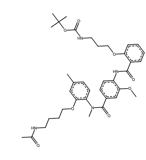 COc1cc(C(=O)N(C)c2ccc(C)cc2OCCCCNC(C)=O)ccc1NC(=O)c1ccccc1OCCCNC(=O)OC(C)(C)C